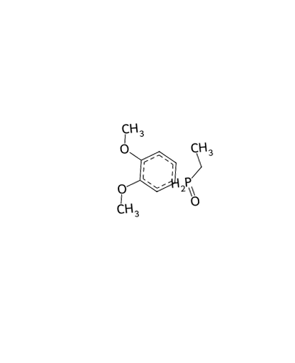 CC[PH2]=O.COc1ccccc1OC